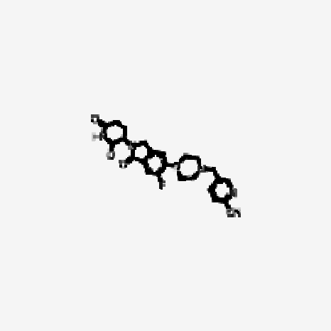 N#Cc1ccc(CN2CCN(c3cc4c(cc3F)C(=O)N(C3CCC(=O)NC3=O)C4)CC2)cn1